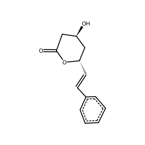 O=C1C[C@@H](O)C[C@H](C=Cc2ccccc2)O1